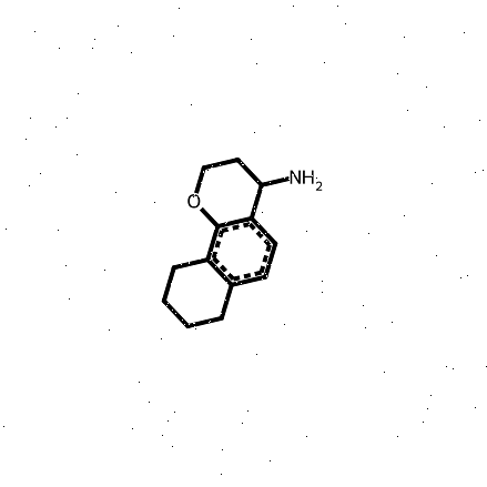 NC1CCOc2c1ccc1c2CCCC1